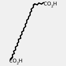 O=C(O)C=CCCCCCCCCCCCCCCCCCCCCCCCCCC/C=C\CCCCC(=O)O